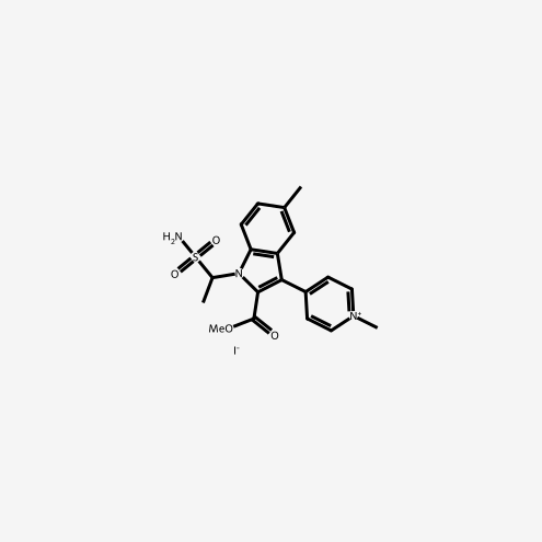 COC(=O)c1c(-c2cc[n+](C)cc2)c2cc(C)ccc2n1C(C)S(N)(=O)=O.[I-]